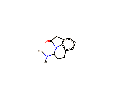 CCCN(CCC)C1CCc2cccc3c2N1C(=O)C3